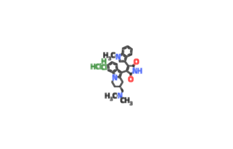 CN(C)C[C@H]1CCn2c(c(C3=C(c4cn(C)c5ccccc45)C(=O)NC3=O)c3ccccc32)C1.Cl.Cl